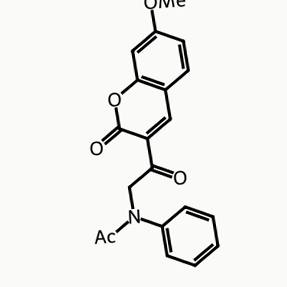 COc1ccc2cc(C(=O)CN(C(C)=O)c3ccccc3)c(=O)oc2c1